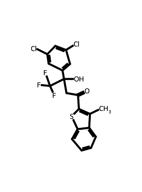 Cc1c(C(=O)CC(O)(c2cc(Cl)cc(Cl)c2)C(F)(F)F)sc2ccccc12